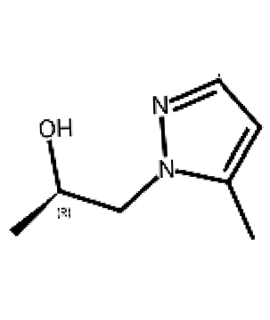 Cc1c[c]nn1C[C@@H](C)O